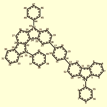 c1ccc(-n2c3ccccc3c3cc(-c4ccc(-c5ccc6c(c5)c5c(ccc7c8ccccc8n(-c8ccccc8)c75)n6-c5ccccc5)cc4)ccc32)cc1